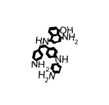 Nc1ccc(C=C(Nc2ccc(N)c3c(O)cccc23)c2ccc(Nc3ccc(N)cc3)cc2)cc1